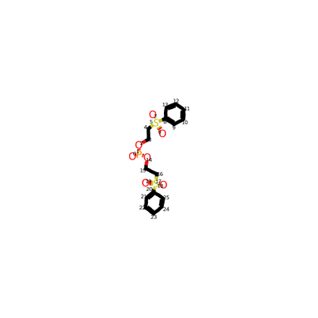 O=[P](OCCS(=O)(=O)c1ccccc1)OCCS(=O)(=O)c1ccccc1